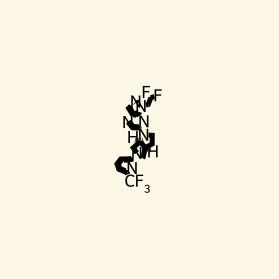 FC(F)Cn1ncc2ncc(N3CC[C@H]4CN(c5cccc(C(F)(F)F)n5)C[C@H]43)nc21